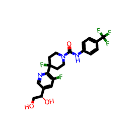 O=C(Nc1ccc(C(F)(F)F)cc1)N1CCC(F)(c2ncc([C@H](O)CO)cc2F)CC1